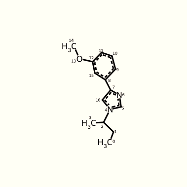 CCC(C)n1cnc(-c2cccc(OC)c2)c1